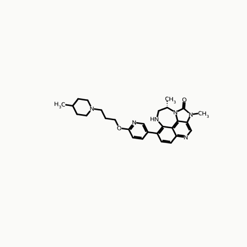 CC1CCN(CCCOc2ccc(-c3ccc4ncc5c6c4c3NC[C@H](C)n6c(=O)n5C)cn2)CC1